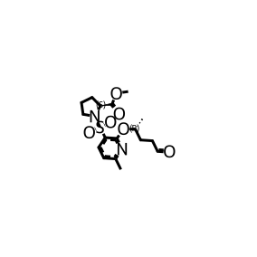 COC(=O)[C@@H]1CCCN1S(=O)(=O)c1ccc(C)nc1O[C@H](C)CCC=O